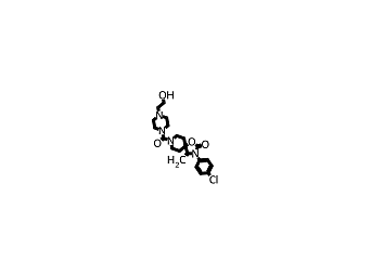 C=C1N(c2ccc(Cl)cc2)C(=O)OC12CCN(C(=O)N1CCN(CCO)CC1)CC2